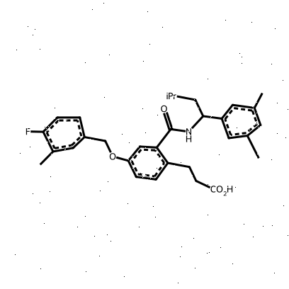 Cc1cc(C)cc(C(CC(C)C)NC(=O)c2cc(OCc3ccc(F)c(C)c3)ccc2CCC(=O)O)c1